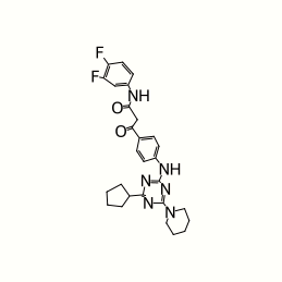 O=C(CC(=O)c1ccc(Nc2nc(C3CCCC3)nc(N3CCCCC3)n2)cc1)Nc1ccc(F)c(F)c1